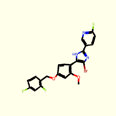 COc1cc(OCc2ccc(F)cc2F)ccc1-c1[nH]c(-c2ccc(F)nc2)nc1Br